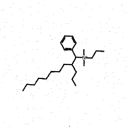 CCCCCCCCC(CCC)C(c1ccccc1)[N+](C)(C)CCC